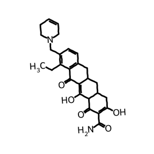 CCc1c(CN2CC=CCC2)ccc2c1C(=O)C1=C(O)C3C(=O)C(C(N)=O)=C(O)CC3CC1C2